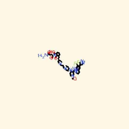 CC(=O)N1CCC(NC2CCN(CCCN3CCC(CCc4cccc5c4C(=O)N(C(C=O)CCC(N)=O)C5O)CC3)CC2)C(C(=N)N2CCCc3cc(C4C=NN(C)C4)c(C(F)F)cc32)C1